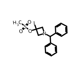 CS(=O)(=O)OC1(I)CN(C(c2ccccc2)c2ccccc2)C1